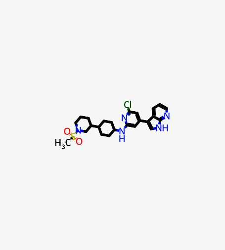 CS(=O)(=O)N1CCCC(C2CCC(Nc3cc(-c4c[nH]c5ncccc45)cc(Cl)n3)CC2)C1